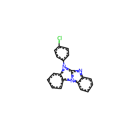 Clc1ccc(-n2c3ccccc3n3c4ccccc4nc23)cc1